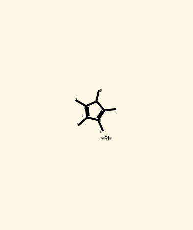 CC1=C(C)C(C)C(C)=C1C.[Rh]